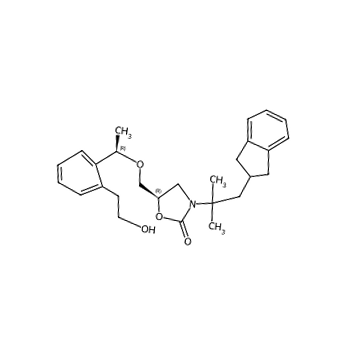 C[C@@H](OC[C@H]1CN(C(C)(C)CC2Cc3ccccc3C2)C(=O)O1)c1ccccc1CCO